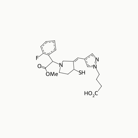 COC(=O)C(c1ccccc1F)N1CCC(S)/C(=C\c2cnn(CCCC(=O)O)c2)C1